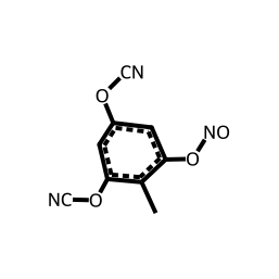 Cc1c(OC#N)cc(OC#N)cc1ON=O